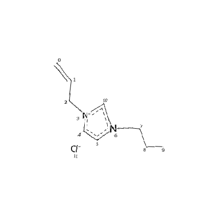 C=CC[n+]1ccn(CCC)c1.[Cl-]